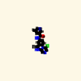 CCC(Nc1cncc(Cl)n1)c1cccc(NC(=O)c2cncc(C)c2)c1